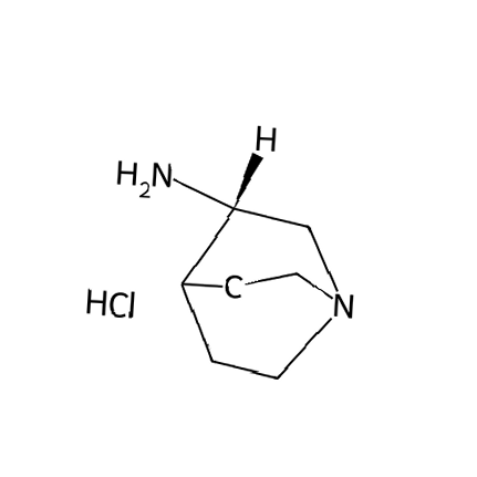 Cl.N[C@@H]1CN2CCC1CC2